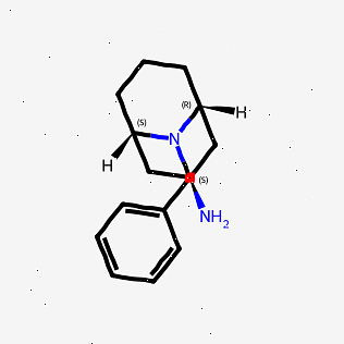 N[C@@H]1C[C@H]2CCC[C@@H](C1)N2Cc1ccccc1